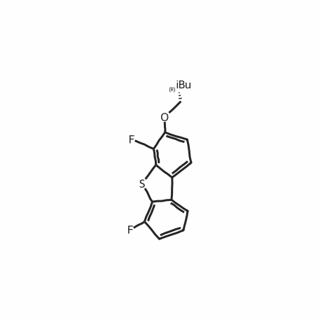 CC[C@@H](C)COc1ccc2c(sc3c(F)cccc32)c1F